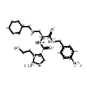 CC(C)CCN1CSC[C@H]1C(=O)N[C@@H](CSCC1CCCCC1)C(=O)NCc1ccc([N+](=O)[O-])cc1.Cl